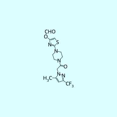 Cc1cc(C(F)(F)F)nn1CC(=O)N1CCN(c2nc(OC=O)cs2)CC1